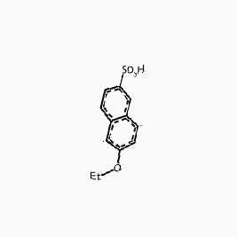 CCOc1[c]c2ccc(S(=O)(=O)O)cc2[c]c1